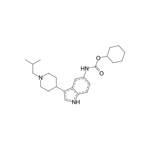 CC(C)CN1CCC(c2c[nH]c3ccc(NC(=O)OC4CCCCC4)cc23)CC1